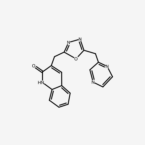 O=c1[nH]c2ccccc2cc1Cc1nnc(Cc2cnccn2)o1